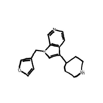 c1cc2c(C3CCNCC3)cn(Cc3ccoc3)c2cn1